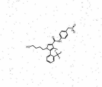 Cc1c(C(=O)Nc2ccc(C[SH](=O)=O)cc2)cn(CCCCO)c1-c1ccccc1C(F)(F)F